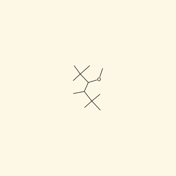 COC(C(C)C(C)(C)C)C(C)(C)C